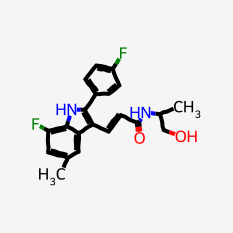 Cc1cc(F)c2[nH]c(-c3ccc(F)cc3)c(C=CC(=O)NC(C)CO)c2c1